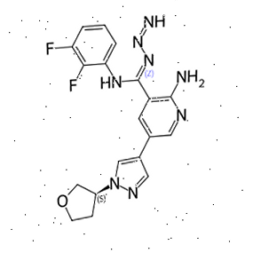 N=N/N=C(\Nc1cccc(F)c1F)c1cc(-c2cnn([C@H]3CCOC3)c2)cnc1N